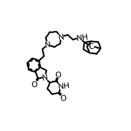 O=C1CCC(N2Cc3c(CCN4CCCN(CCNC56CC7CC(CC5C7)C6)CC4)cccc3C2=O)C(=O)N1